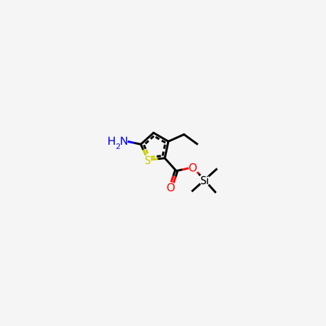 CCc1cc(N)sc1C(=O)O[Si](C)(C)C